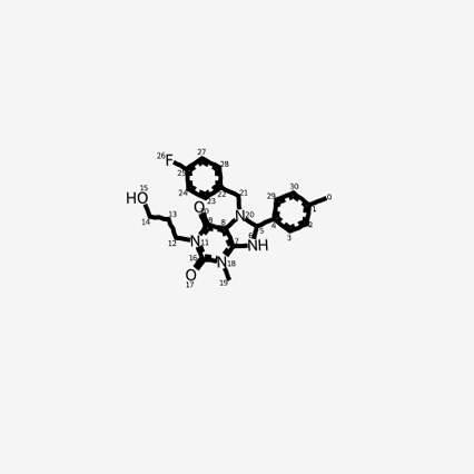 Cc1ccc(C2Nc3c(c(=O)n(CCCO)c(=O)n3C)N2Cc2ccc(F)cc2)cc1